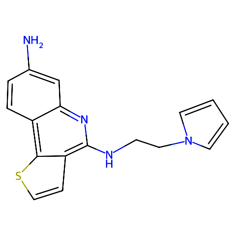 Nc1ccc2c(c1)nc(NCCn1cccc1)c1ccsc12